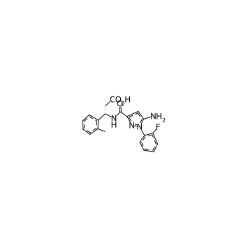 Cc1ccccc1[C@H](CC(=O)O)NC(=O)c1cc(N)n(-c2ccccc2F)n1